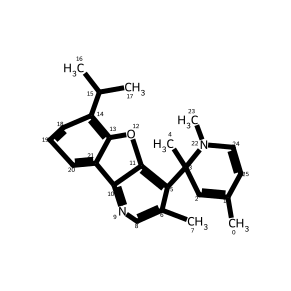 CC1=CC(C)(c2c(C)cnc3c2oc2c(C(C)C)cccc23)N(C)C=C1